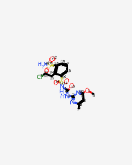 COc1cc(C)nc(NC(=O)NS(=O)(=O)c2cccc(S(N)(=O)=O)c2CCCl)n1